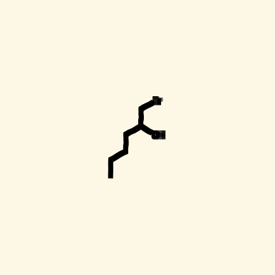 CCCCC(O)CBr